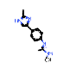 C/C(=N\c1ccc(-c2c[nH]c(C)n2)cc1)NC#N